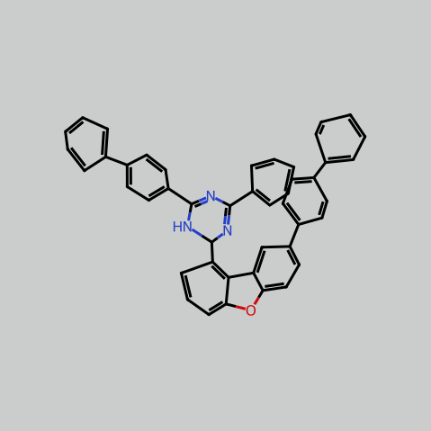 c1ccc(C2=NC(c3cccc4oc5ccc(-c6ccc(-c7ccccc7)cc6)cc5c34)NC(c3ccc(-c4ccccc4)cc3)=N2)cc1